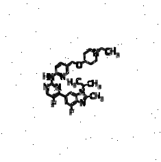 CCN1CCC(OCc2ccc(Nc3ncc(F)c(-c4cc(F)c5nc(C)n(C(C)C)c5c4)n3)nc2)CC1